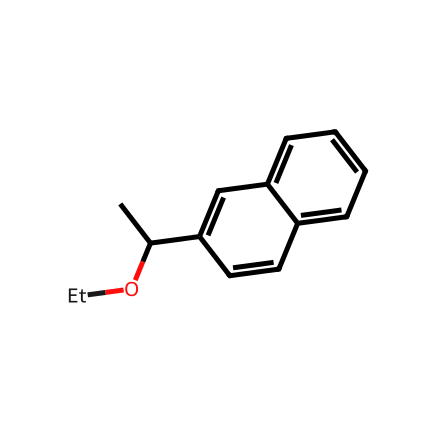 CCOC(C)c1ccc2ccccc2c1